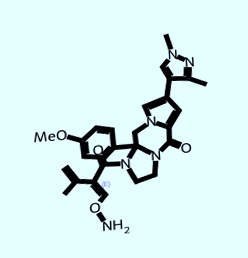 C=C(C)/C(=C\ON)C(=O)N1CCN2C(=O)c3cc(-c4cn(C)nc4C)cn3CC12c1ccc(OC)cc1